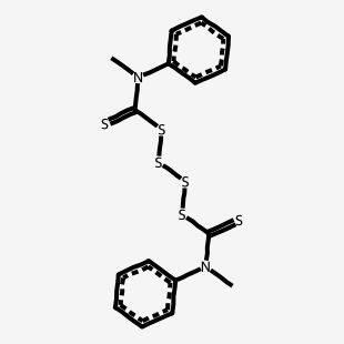 CN(C(=S)SSSSC(=S)N(C)c1ccccc1)c1ccccc1